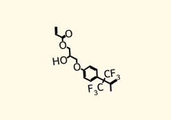 C=CC(=O)OCC(O)COc1ccc(C(C(=C)C)(C(F)(F)F)C(F)(F)F)cc1